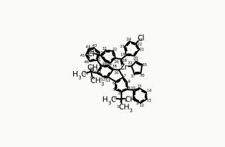 CC(C)(C)c1cc2c(cc1-c1ccccc1)[CH]([Zr](=[C](c1ccc(Cl)cc1)c1ccc(Cl)cc1)[CH]1C=CC=C1)c1cc(-c3ccccc3)c(C(C)(C)C)cc1-2